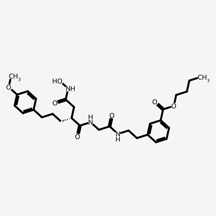 CCCCOC(=O)c1cccc(CCNC(=O)CNC(=O)[C@H](CCCc2ccc(OC)cc2)CC(=O)NO)c1